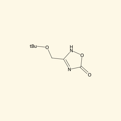 CC(C)(C)OCc1nc(=O)o[nH]1